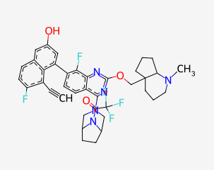 C#Cc1c(F)ccc2cc(O)cc(-c3ccc4c(N5CC6CCC(C5)N6C(=O)C(F)(F)F)nc(OCC56CCCC5N(C)CCC6)nc4c3F)c12